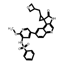 COc1ncc(-c2ccc3ncc4c(c3c2)C2(CC2CC2COC2)C(=O)N4)cc1NS(=O)(=O)c1ccccc1